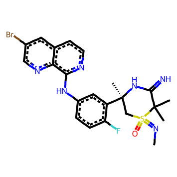 CN=S1(=O)C[C@@](C)(c2cc(Nc3nccc4cc(Br)cnc34)ccc2F)NC(=N)C1(C)C